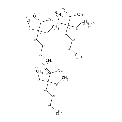 CCCCC(CC)(CC)C(=O)[O-].CCCCC(CC)(CC)C(=O)[O-].CCCCC(CC)(CC)C(=O)[O-].[La+3]